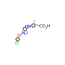 O=C(O)CCc1ccc(NCc2cccc3c2CCCN3CCOc2ccc(Cl)cc2)cc1F